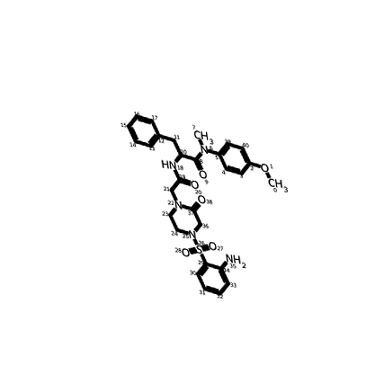 COc1ccc(N(C)C(=O)C(Cc2ccccc2)NC(=O)CN2CCN(S(=O)(=O)c3ccccc3N)CC2=O)cc1